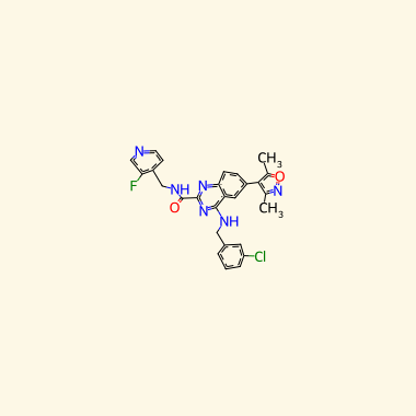 Cc1noc(C)c1-c1ccc2nc(C(=O)NCc3ccncc3F)nc(NCc3cccc(Cl)c3)c2c1